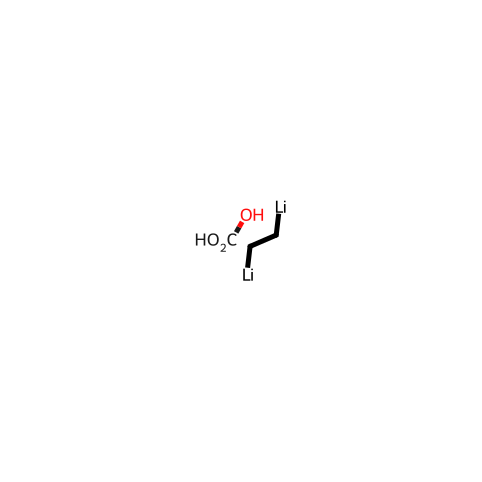 O=C(O)O.[Li][CH2][CH2][Li]